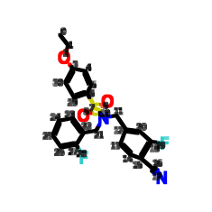 CCOc1ccc(S(=O)(=O)N(Cc2ccc(C#N)c(F)c2)Cc2ccccc2F)cc1